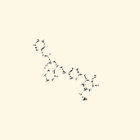 COC(=O)[C@H](Cc1ccc(OCC(CC(=O)OCc2ccccc2)N2CCCCC2)cc1)NC(=O)OC(C)(C)C